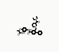 CCN(CC)C(=O)C1CCCN(Cc2cc(C(=O)Nc3ccc4c(c3)NC(=O)C(C)O4)ccc2-c2ccccc2)C1